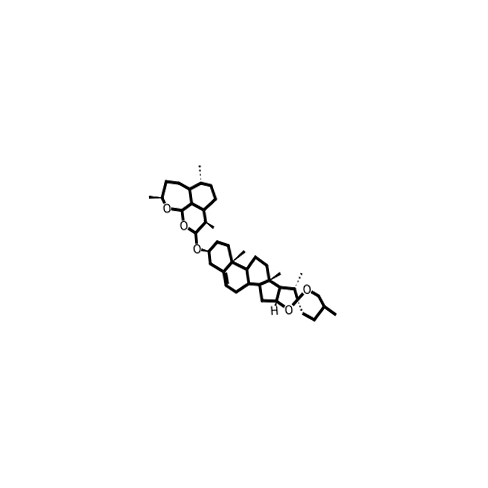 CC1CC[C@]2(OC1)O[C@H]1CC3C4CC=C5C[C@@H](OC6OC7O[C@@H](C)CCC8C7C(CC[C@H]8C)[C@H]6C)CC[C@]5(C)C4CC[C@]3(C)C1[C@@H]2C